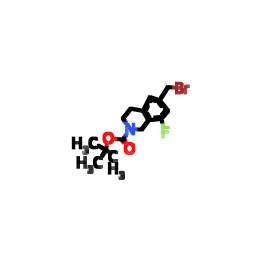 CC(C)(C)OC(=O)N1CCc2cc(CBr)cc(F)c2C1